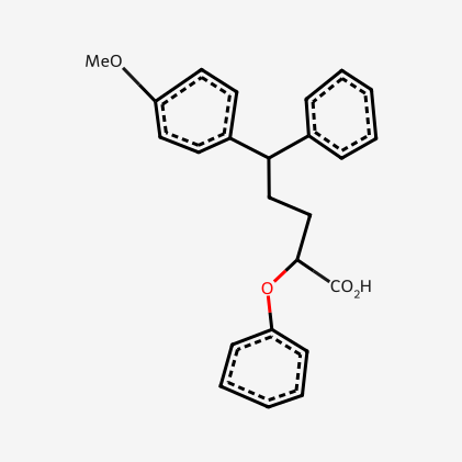 COc1ccc(C(CCC(Oc2ccccc2)C(=O)O)c2ccccc2)cc1